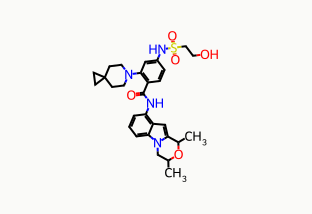 CC1Cn2c(cc3c(NC(=O)c4ccc(NS(=O)(=O)CCO)cc4N4CCC5(CC4)CC5)cccc32)C(C)O1